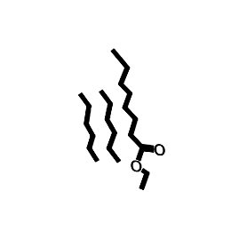 CCCCCC.CCCCCC.CCCCCCCC(=O)OCC